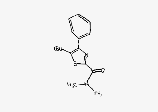 CN(C)C(=O)c1nc(-c2ccccc2)c(C(C)(C)C)s1